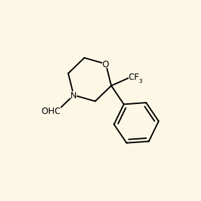 O=CN1CCOC(c2ccccc2)(C(F)(F)F)C1